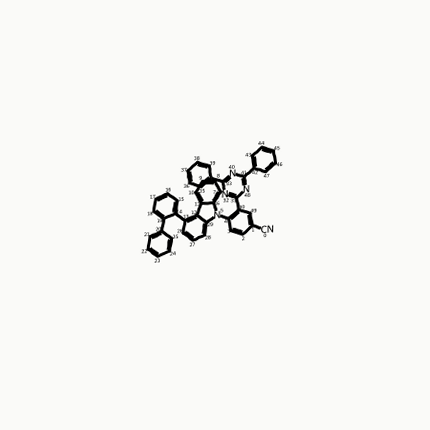 N#Cc1ccc(-n2c3ccccc3c3c(-c4ccccc4-c4ccccc4)cccc32)c(-c2nc(-c3ccccc3)nc(-c3ccccc3)n2)c1